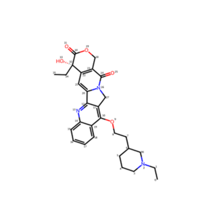 CCN1CCCC(CCOc2c3c(nc4ccccc24)-c2cc4c(c(=O)n2C3)COC(=O)[C@]4(O)CC)C1